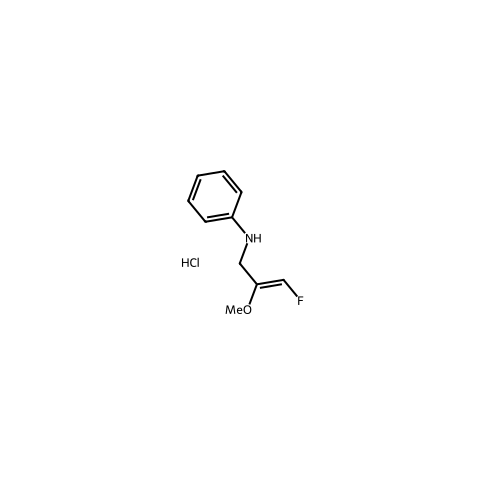 COC(=CF)CNc1ccccc1.Cl